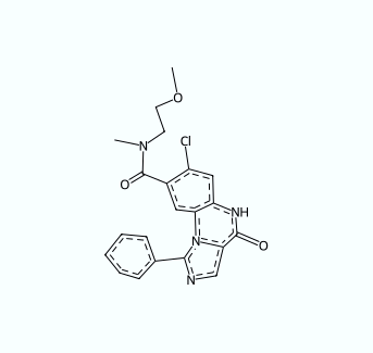 COCCN(C)C(=O)c1cc2c(cc1Cl)[nH]c(=O)c1cnc(-c3ccccc3)n12